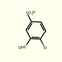 O=Cc1cc(S(=O)(=O)O)ccc1Br